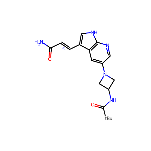 CC(C)(C)C(=O)NC1CN(c2cnc3[nH]cc(/C=C/C(N)=O)c3c2)C1